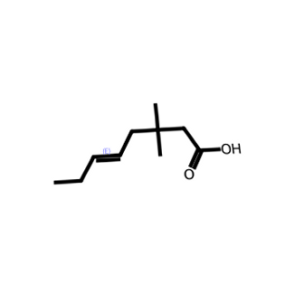 CC/C=C/CC(C)(C)CC(=O)O